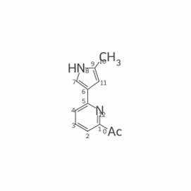 CC(=O)c1cccc(-c2c[nH]c(C)c2)n1